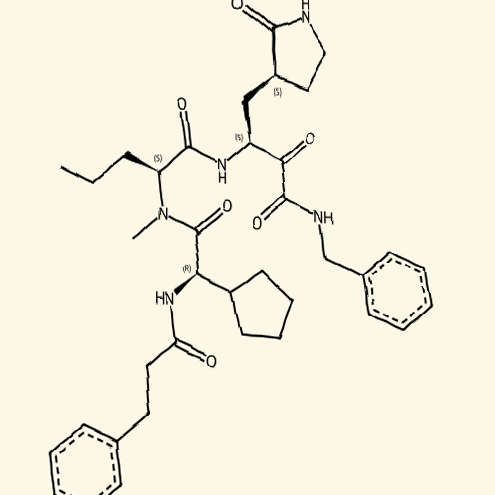 CCC[C@@H](C(=O)N[C@@H](C[C@@H]1CCNC1=O)C(=O)C(=O)NCc1ccccc1)N(C)C(=O)[C@H](NC(=O)CCc1ccccc1)C1CCCC1